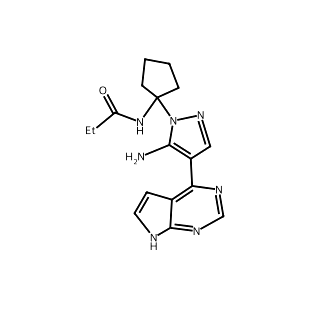 CCC(=O)NC1(n2ncc(-c3ncnc4[nH]ccc34)c2N)CCCC1